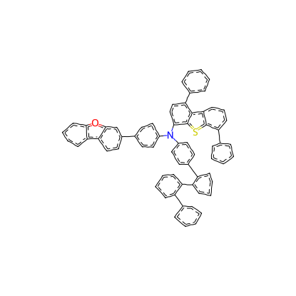 c1ccc(-c2ccccc2-c2ccccc2-c2ccc(N(c3ccc(-c4ccc5c(c4)oc4ccccc45)cc3)c3ccc(-c4ccccc4)c4c3sc3c(-c5ccccc5)cccc34)cc2)cc1